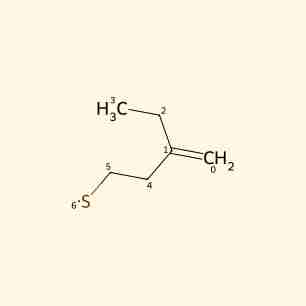 C=C(CC)CC[S]